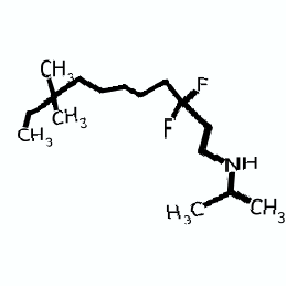 CCC(C)(C)CCCCCC(F)(F)CCNC(C)C